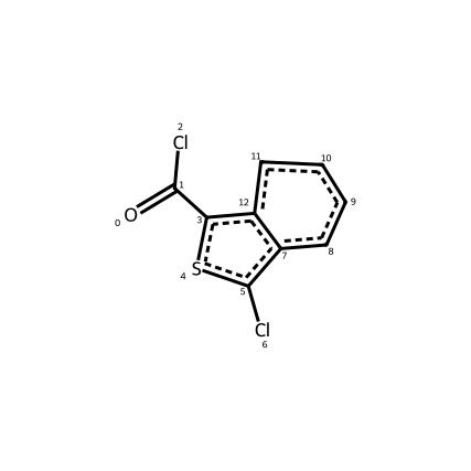 O=C(Cl)c1sc(Cl)c2ccccc12